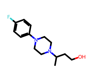 CC(CCO)N1CCN(c2ccc(F)cc2)CC1